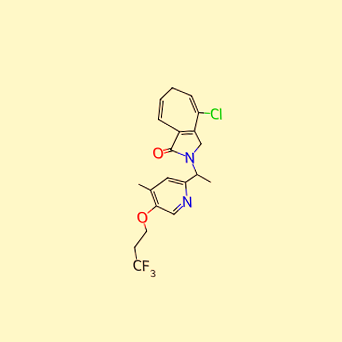 Cc1cc(C(C)N2CC3=C(C=CCC=C3Cl)C2=O)ncc1OCCC(F)(F)F